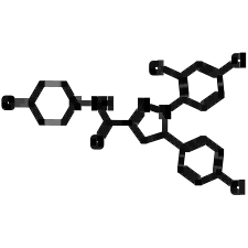 O=C1CCN(NC(=O)C2=NN(c3ccc(Cl)cc3Cl)C(c3ccc(Cl)cc3)C2)CC1